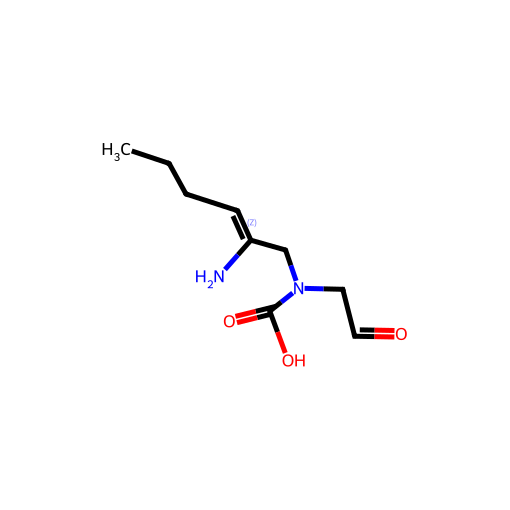 CCC/C=C(\N)CN(CC=O)C(=O)O